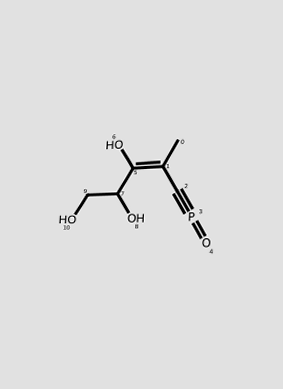 CC(C#P=O)=C(O)C(O)CO